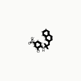 CC(C)(Cc1ccc2ccccc2c1)Nc1ccc([N+](=O)[O-])cc1Cl